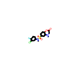 CN1CC(=O)Oc2ccc(S(=O)(=O)N(C)c3ccc(F)c(Cl)c3)cc21